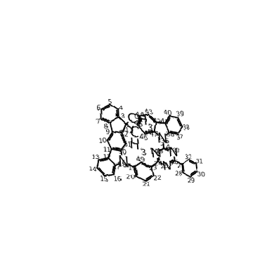 CC1(C)c2ccccc2-c2cc3c4ccccc4n(-c4cccc(-c5nc(-c6ccccc6)nc(-n6c7ccccc7c7ccccc76)n5)c4)c3cc21